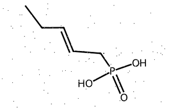 CC/C=C/[CH]P(=O)(O)O